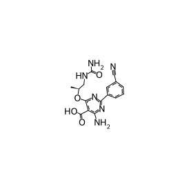 C[C@@H](CNC(N)=O)Oc1nc(-c2cccc(C#N)c2)nc(N)c1C(=O)O